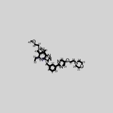 CC=C1N=NN(Cc2cccc(-c3ncc(OCCN4CCOCC4)cn3)c2)/C1=N/C(=C\C)c1cnn(CCOC)c1